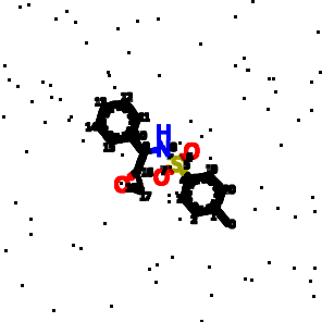 Cc1ccc(S(=O)(=O)N[C@H](c2ccccc2)[C@H]2CO2)cc1